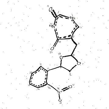 O=c1[nH]cc(CC2OCC(c3ccccc3[N+](=O)[O-])O2)c(=O)[nH]1